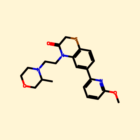 COc1cccc(-c2ccc3c(c2)N(CCN2CCOCC2C)C(=O)CS3)n1